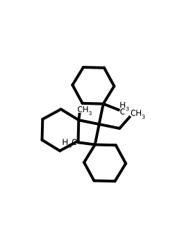 CCC(C1(C)CCCCC1)(C1(C)CCCCC1)C1(C)CCCCC1